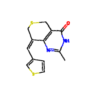 Cc1nc2c(c(=O)[nH]1)CSC/C2=C/c1ccsc1